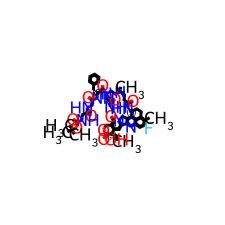 CC[C@@]1(O)C(=O)OCc2c1cc1n(c2=O)Cc2c-1nc1cc(F)c(C)c3c1c2[C@@H](NC(=O)CCN(C)CCN(CC(N)=O)C(=O)[C@H](Cc1ccccc1)NC(=O)CNC(=O)CNC(=O)OC(C)(C)C)CC3